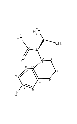 CC(C)[C@H](C(=O)O)N1CCCc2cc(F)ccc21